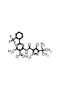 Cc1nc(-c2ccccc2C(F)(F)F)nc(NC(=O)c2c(Cl)c(C(C)(C)C)nn2C)c1[N+](=O)[O-]